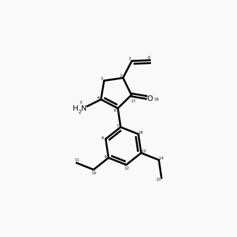 C=CC1CC(N)=C(c2cc(CC)cc(CC)c2)C1=O